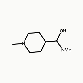 CNC(O)C1CCN(C)CC1